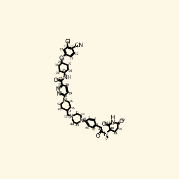 CN(C(=O)Cc1ccc(N2CCN(CC3CCN(c4ccc(C(=O)NC5CCC(Oc6ccc(C#N)c(Cl)c6)CC5)nn4)CC3)CC2)cc1)C1CCC(=O)NC1=O